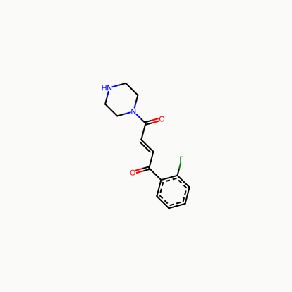 O=C(C=CC(=O)N1CCNCC1)c1ccccc1F